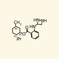 CC(C)[C@@H]1CC[C@@H](C)C[C@H]1OC(=O)c1ccccc1NC1CNN1